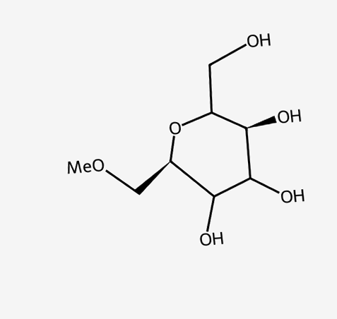 COC[C@H]1OC(CO)[C@@H](O)C(O)C1O